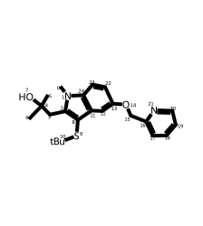 Cn1c(CC(C)(C)O)c(SC(C)(C)C)c2cc(OCc3ccccn3)ccc21